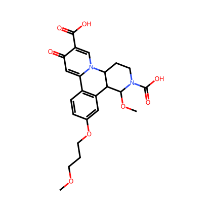 COCCCOc1ccc2c(c1)C1C(OC)N(C(=O)O)CCC1n1cc(C(=O)O)c(=O)cc1-2